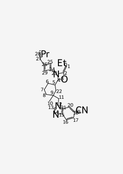 CC/C=C1/OC(C2CCCC(C)(Cn3cnc4ccc(C#N)cc43)C2)N1C1=CC(CC(C)C)=C1